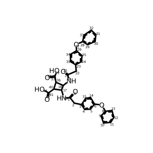 O=C(Cc1ccc(Oc2ccccc2)cc1)NC1C(NC(=O)Cc2ccc(Oc3ccccc3)cc2)C(C(=O)O)C1C(=O)O